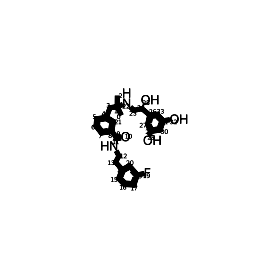 CC(C)(Cc1cccc(C(=O)NCCc2cccc(F)c2)c1)NC[C@H](O)c1cc(O)cc(O)c1